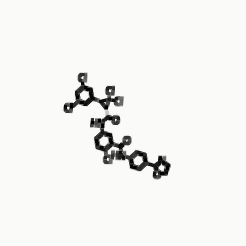 O=C(Nc1ccc(-c2ncco2)cc1)c1cc(NC(=O)[C@@H]2[C@@H](c3cc(Cl)cc(Cl)c3)C2(Cl)Cl)ccc1Cl